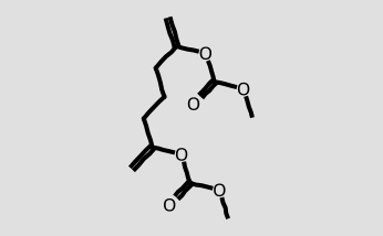 C=C(CCCC(=C)OC(=O)OC)OC(=O)OC